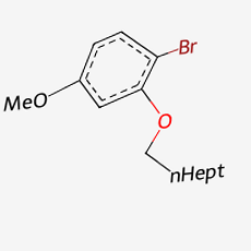 CCCCCCCCOc1cc(OC)ccc1Br